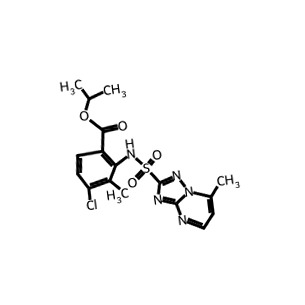 Cc1c(Cl)ccc(C(=O)OC(C)C)c1NS(=O)(=O)c1nc2nccc(C)n2n1